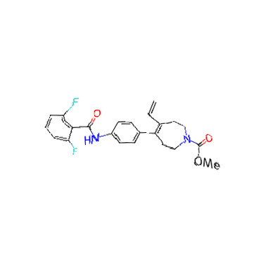 C=CC1=C(c2ccc(NC(=O)c3c(F)cccc3F)cc2)CCN(C(=O)OC)CC1